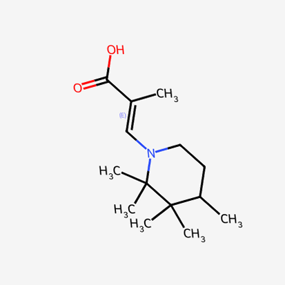 C/C(=C\N1CCC(C)C(C)(C)C1(C)C)C(=O)O